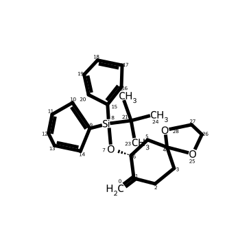 C=C1CCC2(C[C@H]1O[Si](c1ccccc1)(c1ccccc1)C(C)(C)C)OCCO2